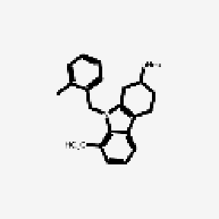 CCCCCCC1CCc2c(n(Cc3ccccc3C)c3c(C(=O)O)cccc23)C1